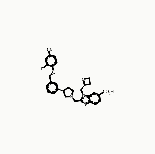 N#Cc1ccc(OCc2cccc([C@H]3CCN(Cc4nc5ccc(C(=O)O)cc5n4C[C@@H]4CCO4)C3)c2)c(F)c1